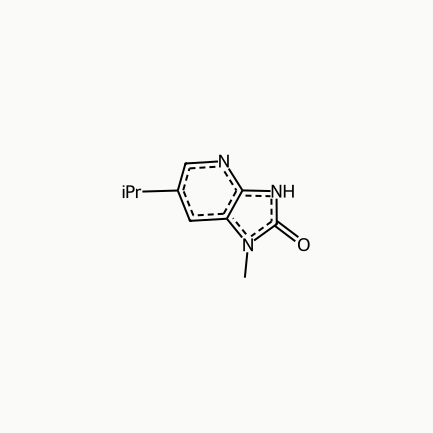 CC(C)c1cnc2[nH]c(=O)n(C)c2c1